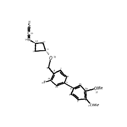 COc1ccc(-c2ccc(CO[C@H]3C[C@H](N=C=S)C3)c(F)c2)cc1OC